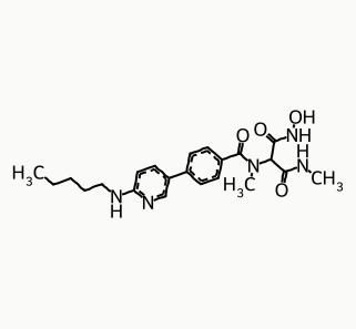 CCCCCNc1ccc(-c2ccc(C(=O)N(C)C(C(=O)NC)C(=O)NO)cc2)cn1